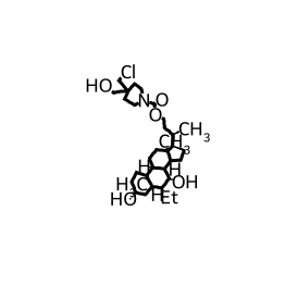 CC[C@H]1[C@@H](O)C2[C@@H]3CC[C@H]([C@H](C)CCOC(=O)N4CCC(CO)(CCl)CC4)C3(C)CC[C@@H]2C2(C)CC[C@@H](O)C[C@@H]12